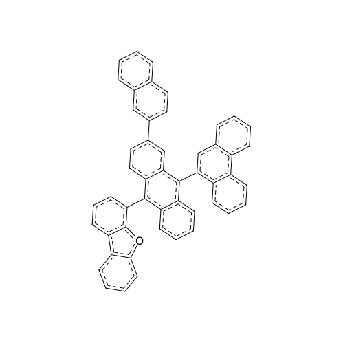 c1ccc2cc(-c3ccc4c(-c5cccc6c5oc5ccccc56)c5ccccc5c(-c5cc6ccccc6c6ccccc56)c4c3)ccc2c1